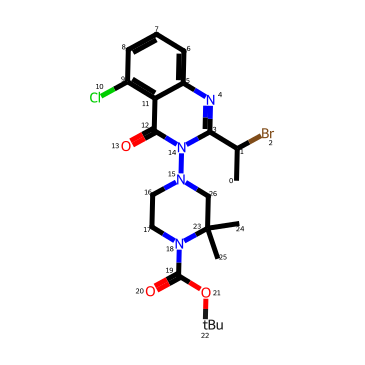 CC(Br)c1nc2cccc(Cl)c2c(=O)n1N1CCN(C(=O)OC(C)(C)C)C(C)(C)C1